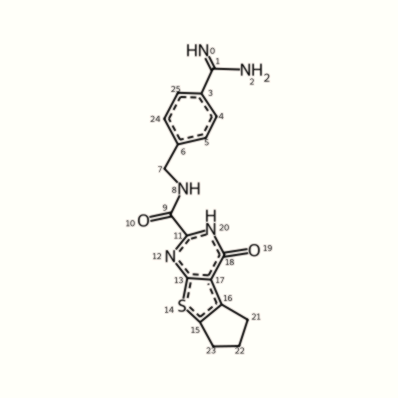 N=C(N)c1ccc(CNC(=O)c2nc3sc4c(c3c(=O)[nH]2)CCC4)cc1